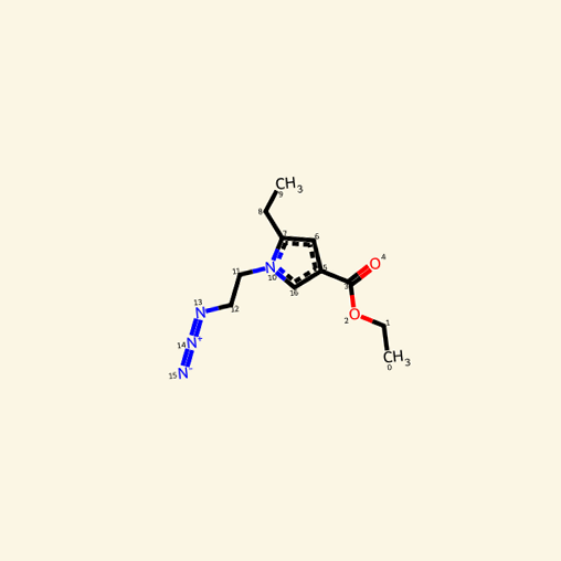 CCOC(=O)c1cc(CC)n(CCN=[N+]=[N-])c1